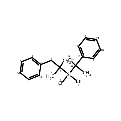 CC[Si](Cl)(C(C)(C)Cc1ccccc1)C(C)(C)c1ccccc1